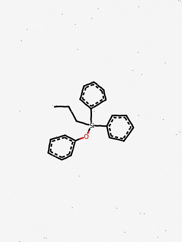 CCC[Si](Oc1ccccc1)(c1ccccc1)c1ccccc1